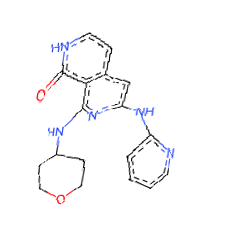 O=c1[nH]ccc2cc(Nc3ccccn3)nc(NC3CCOCC3)c12